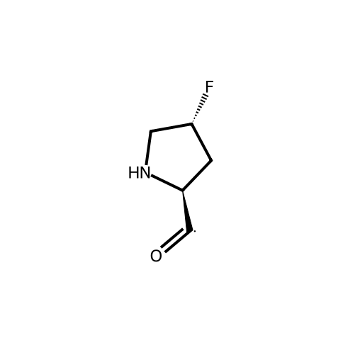 O=[C][C@@H]1C[C@@H](F)CN1